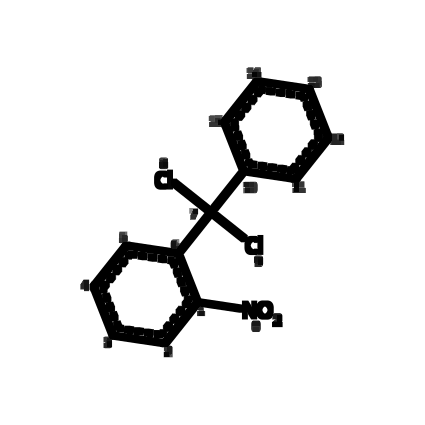 O=[N+]([O-])c1ccccc1C(Cl)(Cl)c1ccccc1